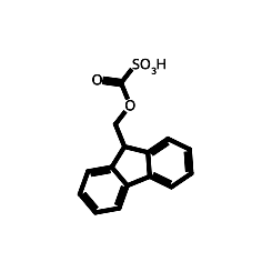 O=C(OCC1c2ccccc2-c2ccccc21)S(=O)(=O)O